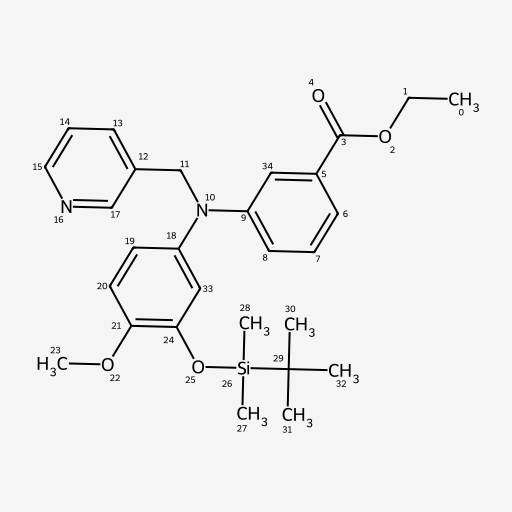 CCOC(=O)c1cccc(N(Cc2cccnc2)c2ccc(OC)c(O[Si](C)(C)C(C)(C)C)c2)c1